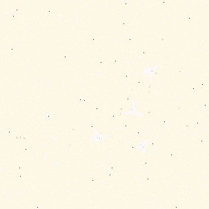 COc1c(Cl)cc(C(=O)N[C@H]2CN(C(C)=O)c3ccccc3N(CC(=O)N[C@H](C=O)CC(C)=O)C2=O)cc1Cl